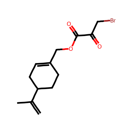 C=C(C)C1CC=C(COC(=O)C(=O)CBr)CC1